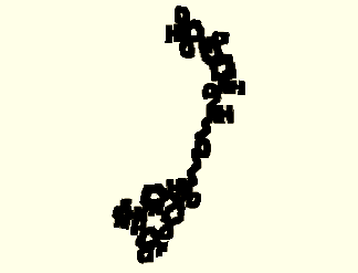 O=C1CCC(N2Cc3cc(NC(=O)CCNCCCOCCCCNC(=O)[C@]4(Cc5cccc(Nc6nccs6)n5)CC[C@@H](Oc5cccc(Cl)c5F)CC4)ccc3C2=O)C(=O)N1